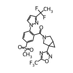 CC(F)(F)c1ccn(-c2ccc(S(C)(=O)=O)cc2C(=O)N2CC3CC3(c3noc(C(F)(F)F)n3)C2)n1